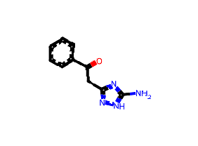 Nc1nc(CC(=O)c2ccccc2)n[nH]1